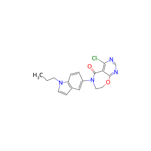 CCCn1ccc2cc(N3CCOc4ncnc(Cl)c4C3=O)ccc21